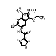 CCc1nc2c(cc1NC(=O)c1cscn1)c(OCC(F)(F)F)c(C(=O)O)n2C